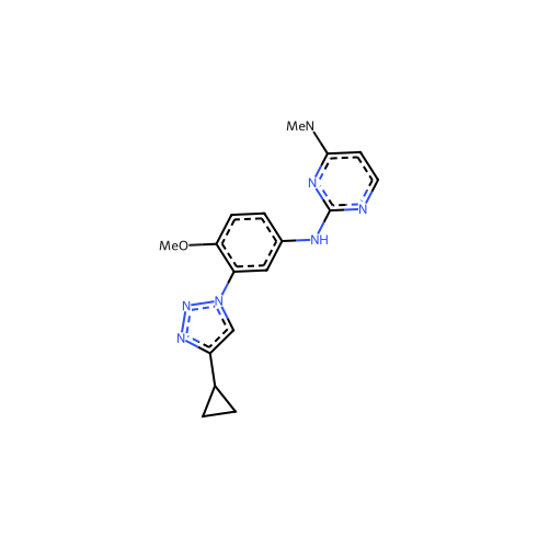 CNc1ccnc(Nc2ccc(OC)c(-n3cc(C4CC4)nn3)c2)n1